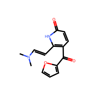 CN(C)C=Cc1[nH]c(=O)ccc1C(=O)c1ccco1